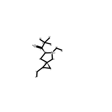 CCC1C[C@]12C[C@@H](C(=O)C(C)(C)C)N(CC)C2